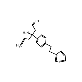 C=CCC(N)(CC=C)c1ccc(CCc2ccccc2)cc1